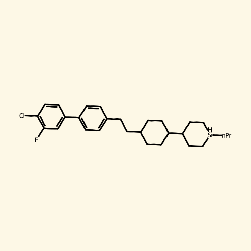 CCC[SiH]1CCC(C2CCC(CCc3ccc(-c4ccc(Cl)c(F)c4)cc3)CC2)CC1